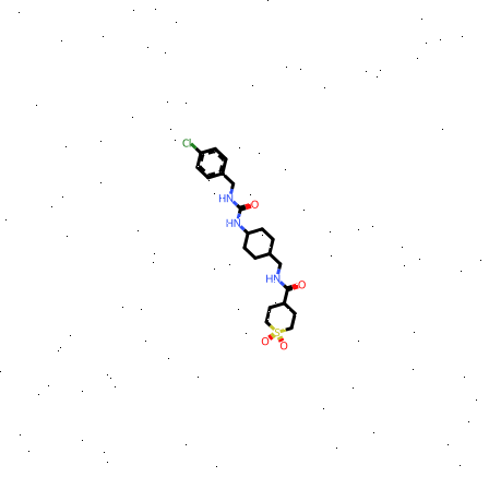 O=C(NCc1ccc(Cl)cc1)NC1CCC(CNC(=O)C2CCS(=O)(=O)CC2)CC1